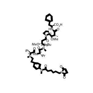 CC[C@H](C)[C@@H]([C@@H](CC(=O)N1CCC[C@H]1[C@H](OC)[C@@H](C)C(=O)N[C@@H](Cc1ccccc1)C(=O)O)OC)N(C)C(=O)[C@@H](NC(=O)[C@H](C(C)C)N(C)CCc1ccc(N(C)C(=O)CCCCCN2C(=O)C=CC2=O)cc1)C(C)C